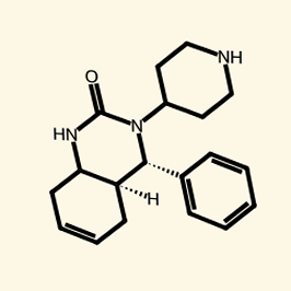 O=C1NC2CC=CC[C@@H]2[C@@H](c2ccccc2)N1C1CCNCC1